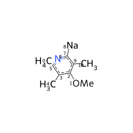 C.COc1c(C)cn[c]([Na])c1C